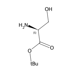 CC(C)(C)OC(=O)[C@@H](N)CO